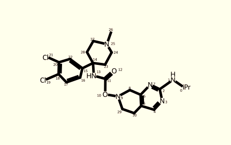 CC(C)Nc1ncc2c(n1)CN(OC(=O)NC1(c3ccc(Cl)c(Cl)c3)CCN(C)CC1)CC2